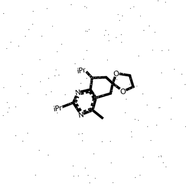 Cc1nc(C(C)C)nc2c1CC1(CC2C(C)C)OCCO1